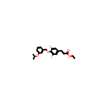 CCOC(=O)CCc1cc(F)c(OCc2cccc(OC(C)C)c2)c(F)c1